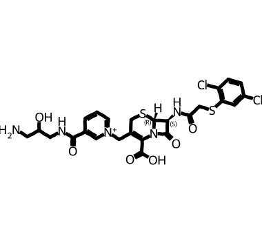 NCC(O)CNC(=O)c1ccc[n+](CC2=C(C(=O)O)N3C(=O)[C@H](NC(=O)CSc4cc(Cl)ccc4Cl)[C@H]3SC2)c1